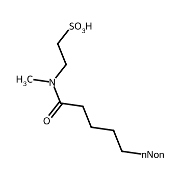 CCCCCCCCCCCCCC(=O)N(C)CCS(=O)(=O)O